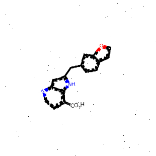 O=C(O)c1ccnc2cc(Cc3ccc4ccoc4c3)[nH]c12